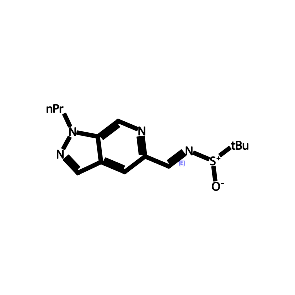 CCCn1ncc2cc(/C=N/[S+]([O-])C(C)(C)C)ncc21